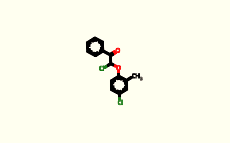 Cc1cc(Cl)ccc1OC(Cl)C(=O)c1ccccc1